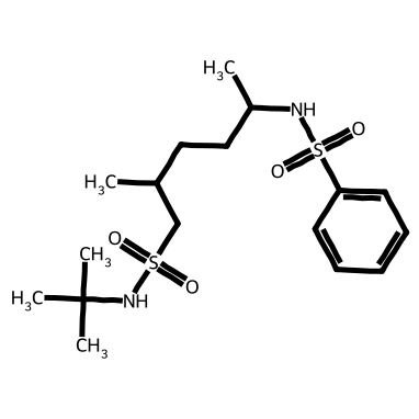 CC(CCC(C)NS(=O)(=O)c1ccccc1)CS(=O)(=O)NC(C)(C)C